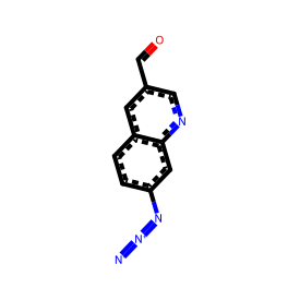 [N-]=[N+]=Nc1ccc2cc(C=O)cnc2c1